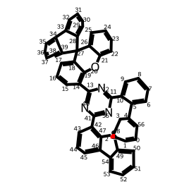 C1=CCCC(c2ccccc2-c2nc(-c3cccc4c3Oc3ccccc3C43c4ccccc4-c4ccccc43)nc(-c3cccc4c3sc3ccccc34)n2)=C1